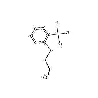 CCCCc1ccccc1C(Cl)(Cl)Cl